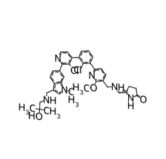 COc1nc(-c2cccc(-c3ccnc(-c4ccc5c(CNCC(C)(C)O)cn(C)c5c4)c3Cl)c2Cl)ccc1CNC[C@H]1CCC(=O)N1